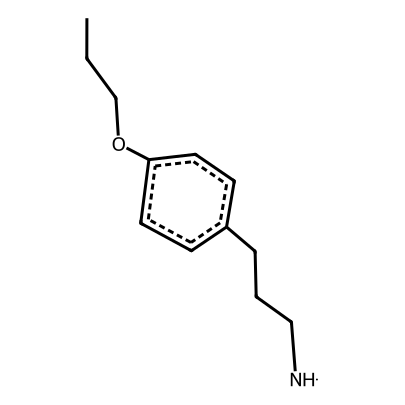 CCCOc1ccc(CCC[NH])cc1